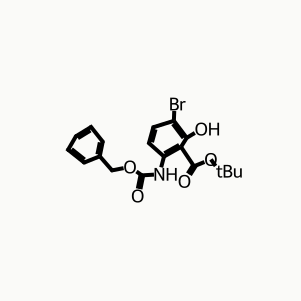 CC(C)(C)OC(=O)c1c(NC(=O)OCc2ccccc2)ccc(Br)c1O